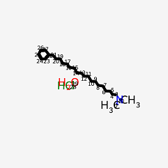 CN(C)CCCCCCCCCCCCCCCCCCCc1ccccc1.Cl.O